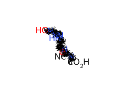 Cc1c(Nc2nccc3cc(C(C)N4CCC(O)C4)cnc23)cccc1-c1cccc(-c2nc3cc(CN4CC[C@@H](C(=O)O)C4)cc(C#N)c3o2)c1C